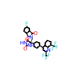 O=C1NC(=O)[C@](CN2Cc3ccc(F)cc3C2=O)(c2ccc(-c3cc(C(F)(F)F)nc4c(C(F)(F)F)cccc34)cc2)N1